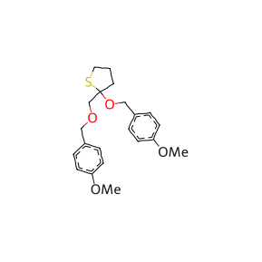 COc1ccc(COCC2(OCc3ccc(OC)cc3)CCCS2)cc1